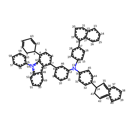 C1=CCC(c2ccc(-c3cccc(N(c4ccc(-c5cccc6ccccc56)cc4)c4ccc(C5C=c6ccccc6=CC5)cc4)c3)c3c4ccccc4n(-c4ccccc4)c23)C=C1